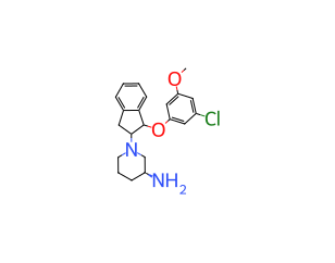 COc1cc(Cl)cc(OC2c3ccccc3CC2N2CCC[C@H](N)C2)c1